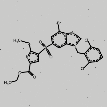 CCOC(=O)c1cc(S(=O)(=O)c2cc(Br)c3ncn(Cc4c(Cl)cccc4Cl)c3c2)c(SC)s1